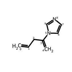 C=CCC(=C)n1ccnc1